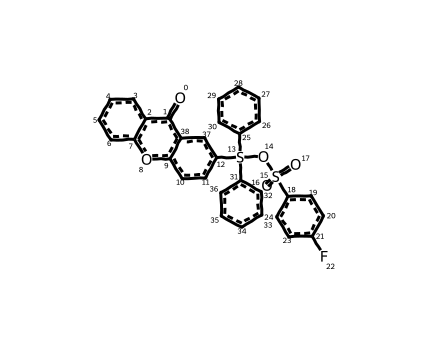 O=c1c2ccccc2oc2ccc(S(OS(=O)(=O)c3ccc(F)cc3)(c3ccccc3)c3ccccc3)cc12